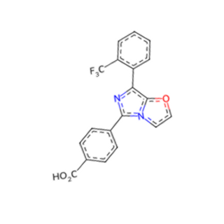 O=C(O)c1ccc(-c2nc(-c3ccccc3C(F)(F)F)c3occn23)cc1